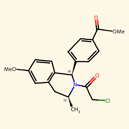 COC(=O)c1ccc([C@@H]2c3ccc(OC)cc3C[C@H](C)N2C(=O)CCl)cc1